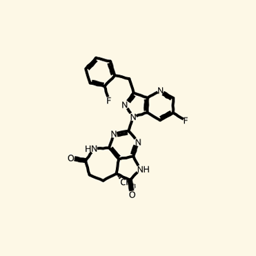 C[C@]12CCC(=O)Nc3nc(-n4nc(Cc5ccccc5F)c5ncc(F)cc54)nc(c31)NC2=O